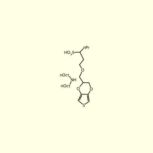 CCCC(CCOCC1COc2cscc2O1)S(=O)(=O)O.CCCCCCCCNCCCCCCCC